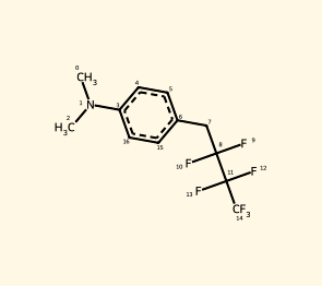 CN(C)c1ccc(CC(F)(F)C(F)(F)C(F)(F)F)cc1